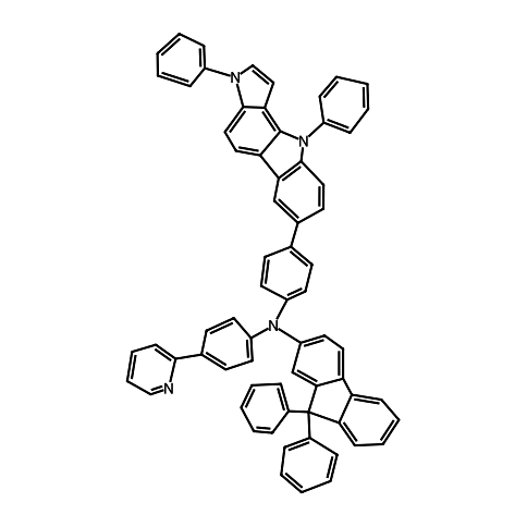 c1ccc(-n2ccc3c2ccc2c4cc(-c5ccc(N(c6ccc(-c7ccccn7)cc6)c6ccc7c(c6)C(c6ccccc6)(c6ccccc6)c6ccccc6-7)cc5)ccc4n(-c4ccccc4)c23)cc1